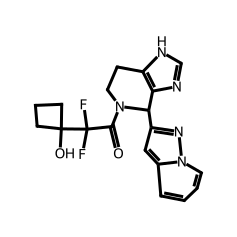 O=C(N1CCc2[nH]cnc2C1c1cc2ccccn2n1)C(F)(F)C1(O)CCC1